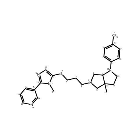 Cn1c(SCCCN2CC3N(c4ccc(C(F)(F)F)cc4)CCC3(C)C2)nnc1-c1cccnc1